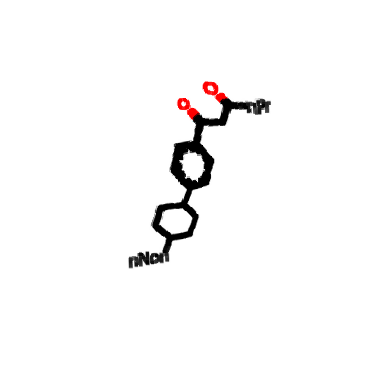 CCCCCCCCCC1CCC(c2ccc(C(=O)CC(=O)CCC)cc2)CC1